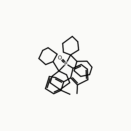 Cc1ccccc1-c1c(C)cccc1P(=O)(C1(C2CCCCC2)CCCCC1)C1(C2CCCCC2)CCCCC1